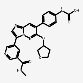 CNC(=O)c1cncc(-c2cnc3cc(-c4ccc(NC(=O)O)cc4)c(OC4CCOC4)nn23)c1